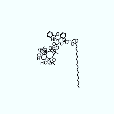 CCCCCCCCCCCCCCCCCC1OC[C@@H](COC(=O)O[C@@H](C(=O)O[C@H]2C[C@@]3(O)[C@@H](O)[C@@H]4[C@]5(OC(C)=O)CO[C@@H]5C[C@H](O)[C@@]4(C)C(=O)[C@H](OC(C)=O)C(=C2C)C3(C)C)[C@@H](NC(=O)c2ccccc2)c2ccccc2)O1